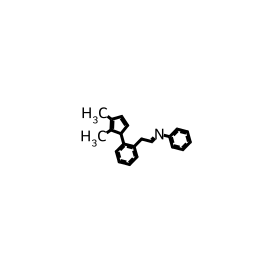 CC1=C(C)C(c2ccccc2CC=Nc2ccccc2)C=C1